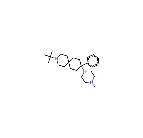 CN1CCN(C2(c3ccccc3)CCC3(CCN(C(C)(C)C)CC3)CC2)CC1